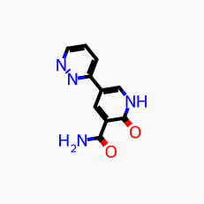 NC(=O)c1cc(-c2cccnn2)c[nH]c1=O